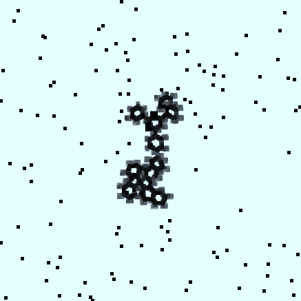 c1ccc(-c2nc(-c3ccc(-c4ccc5cc6c(cc5c4)C4(c5ccccc5-c5ccccc54)c4ccc5ccccc5c4-6)cc3)cc(-c3cccc4ccccc34)n2)cc1